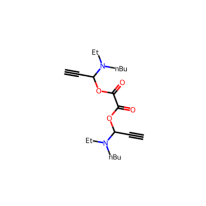 C#CC(OC(=O)C(=O)OC(C#C)N(CC)CCCC)N(CC)CCCC